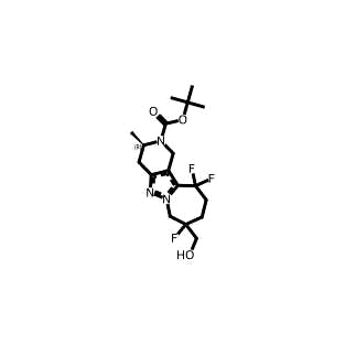 C[C@@H]1Cc2nn3c(c2CN1C(=O)OC(C)(C)C)C(F)(F)CCC(F)(CO)C3